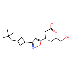 CC(C)(C)CC1CC(c2cc([C@@H](CCCO)CC(=O)O)on2)C1